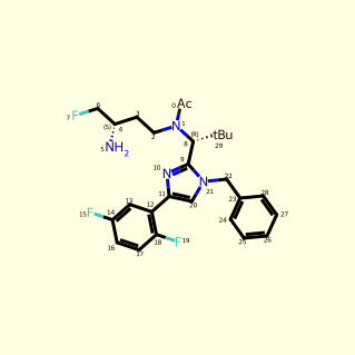 CC(=O)N(CC[C@H](N)CF)[C@@H](c1nc(-c2cc(F)ccc2F)cn1Cc1ccccc1)C(C)(C)C